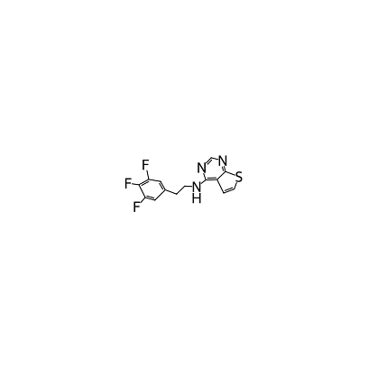 Fc1cc(CCNc2ncnc3sccc23)cc(F)c1F